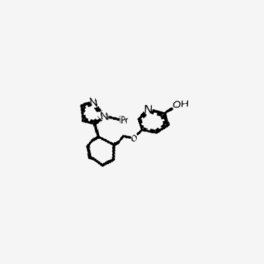 CC(C)n1nccc1C1CCCCC1COc1ccc(O)nc1